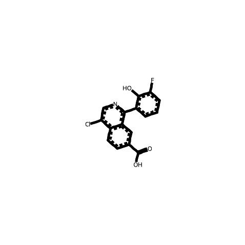 O=C(O)c1ccc2c(Cl)cnc(-c3cccc(F)c3O)c2c1